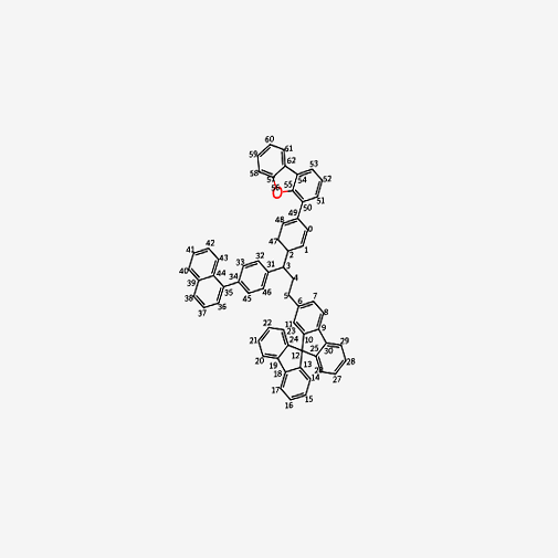 C1=CC(C(CCc2ccc3c(c2)C2(c4ccccc4-c4ccccc42)c2ccccc2-3)c2ccc(-c3cccc4ccccc34)cc2)CC=C1c1cccc2c1oc1ccccc12